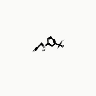 N#CCNc1cccc(C(F)(F)F)c1